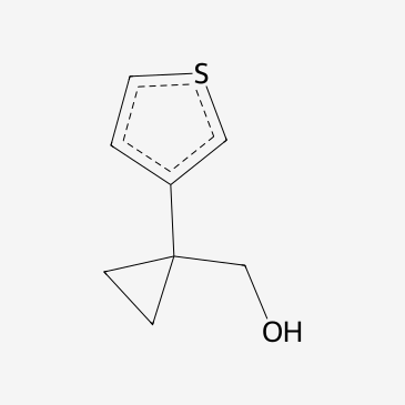 OCC1(c2ccsc2)CC1